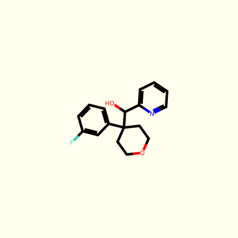 OC(c1ccccn1)C1(c2cccc(F)c2)CCOCC1